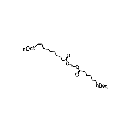 CCCCCCCC/C=C\CCCCCCCC(=O)OC[CH]OC(=O)CCCCCCCCCCCCCCC